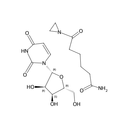 NC(=O)CCCCC(=O)N1CC1.O=c1ccn([C@@H]2O[C@H](CO)[C@@H](O)[C@H]2O)c(=O)[nH]1